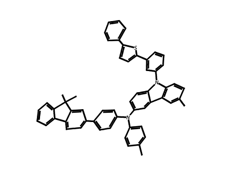 Cc1ccc(N(c2ccc(-c3ccc4c(c3)C(C)(C)c3ccccc3-4)cc2)c2ccc3c(c2)c2cc(C)ccc2n3-c2cccc(-c3ccc(-c4ccccc4)s3)c2)cc1